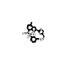 Cc1cccc(S(=O)(=O)N(S)c2ccc(C)c3cc(C4=NCC(CN)S4)[nH]c23)c1